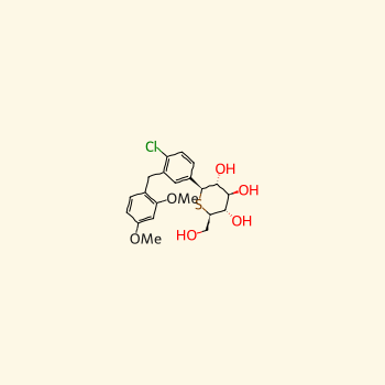 COc1ccc(Cc2cc([C@@H]3S[C@H](CO)[C@@H](O)[C@H](O)[C@H]3O)ccc2Cl)c(OC)c1